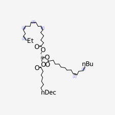 CC/C=C\C/C=C\C/C=C\C/C=C\CCCCC(=O)OC[C@@H](COC(=O)CCCCCCCCCCCCCCCC)OC(=O)CCCCCCC/C=C\C/C=C\CCCC